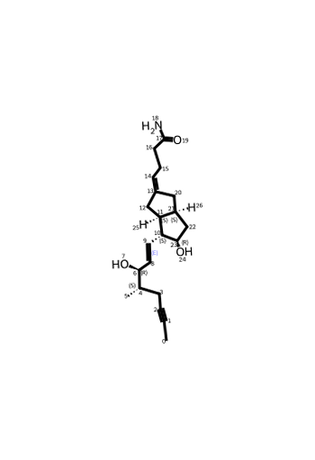 CC#CC[C@H](C)[C@@H](O)/C=C/[C@@H]1[C@H]2CC(=CCCC(N)=O)C[C@H]2C[C@H]1O